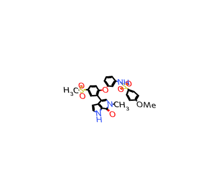 COc1ccc(S(=O)(=O)Nc2cccc(Oc3ccc(S(C)(=O)=O)cc3-c3cn(C)c(=O)c4[nH]ccc34)c2)cc1